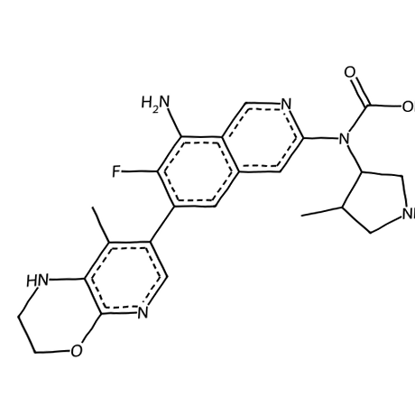 Cc1c(-c2cc3cc(N(C(=O)O)C4CNCC4C)ncc3c(N)c2F)cnc2c1NCCO2